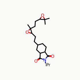 CC(C)N1C(=O)C2CCC(CCC3OC3(C)CCC3OC3(C)C)CC2C1=O